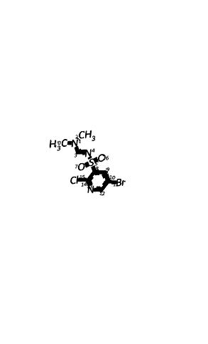 CN(C)/C=N/S(=O)(=O)c1cc(Br)cnc1Cl